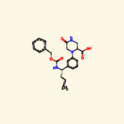 C=CC[C@H](NC(=O)OCc1ccccc1)c1cccc(N2CC(=O)NCC2C(=O)O)c1